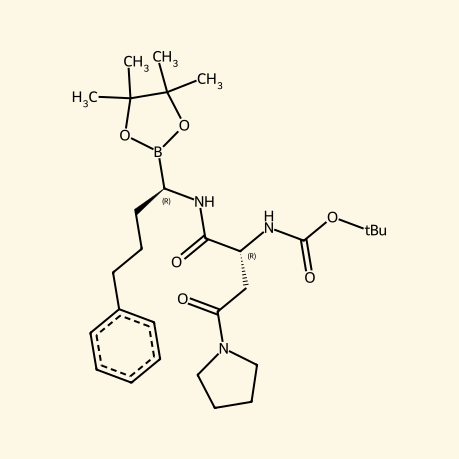 CC(C)(C)OC(=O)N[C@H](CC(=O)N1CCCC1)C(=O)N[C@@H](CCCc1ccccc1)B1OC(C)(C)C(C)(C)O1